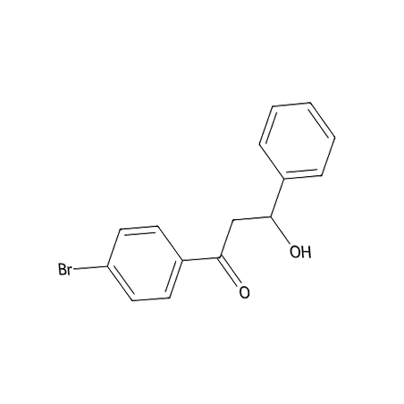 O=C(CC(O)c1ccccc1)c1ccc(Br)cc1